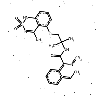 C=N/C(C(=O)NC(C)(C)COc1cccc2c1C(N)=NS(=O)(=O)N2)=c1/cccc/c1=C/C